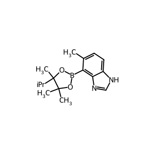 Cc1ccc2[nH]cnc2c1B1OC(C)(C)C(C)(C(C)C)O1